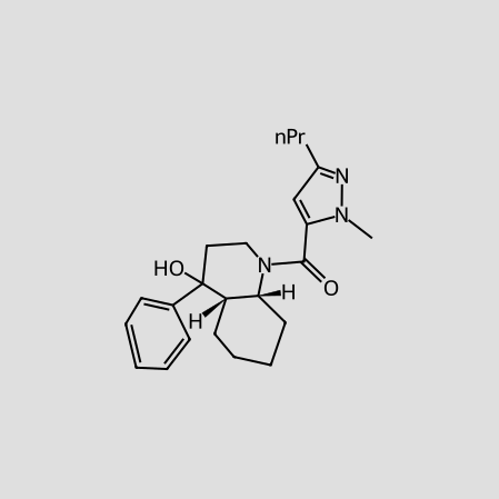 CCCc1cc(C(=O)N2CCC(O)(c3ccccc3)[C@H]3CCCC[C@H]32)n(C)n1